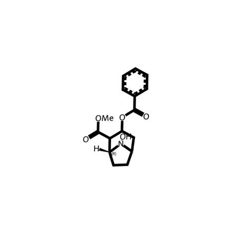 COC(=O)C1C(OC(=O)c2ccccc2)CC2CC[C@H]1N2O